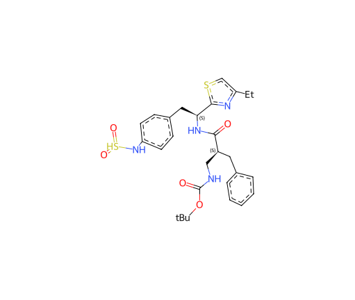 CCc1csc([C@H](Cc2ccc(N[SH](=O)=O)cc2)NC(=O)[C@H](CNC(=O)OC(C)(C)C)Cc2ccccc2)n1